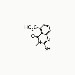 Cn1c(S)nc2cccc(C(=O)O)c2c1=O